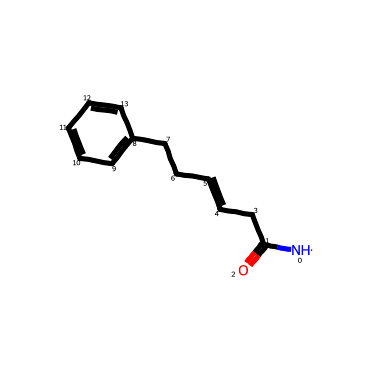 [NH]C(=O)CC=CCCc1ccccc1